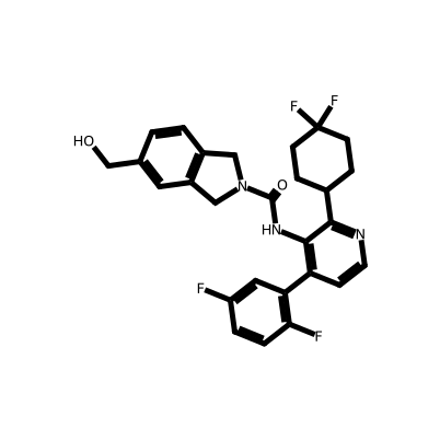 O=C(Nc1c(-c2cc(F)ccc2F)ccnc1C1CCC(F)(F)CC1)N1Cc2ccc(CO)cc2C1